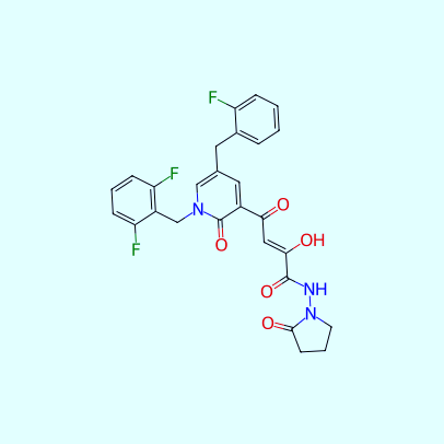 O=C(NN1CCCC1=O)C(O)=CC(=O)c1cc(Cc2ccccc2F)cn(Cc2c(F)cccc2F)c1=O